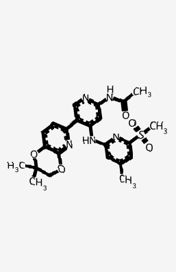 CC(=O)Nc1cc(Nc2cc(C)cc(S(C)(=O)=O)n2)c(-c2ccc3c(n2)OCC(C)(C)O3)cn1